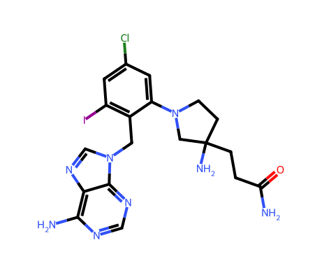 NC(=O)CCC1(N)CCN(c2cc(Cl)cc(I)c2Cn2cnc3c(N)ncnc32)C1